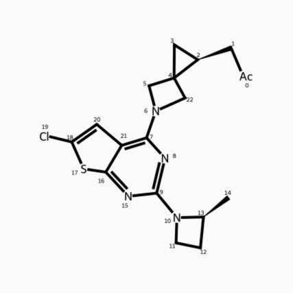 CC(=O)C[C@@H]1CC12CN(c1nc(N3CC[C@@H]3C)nc3sc(Cl)cc13)C2